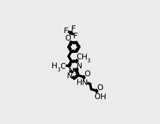 Cc1nc2c(C(=O)NCCC(=O)O)cnn2c(C)c1Cc1cccc(OC(F)(F)F)c1